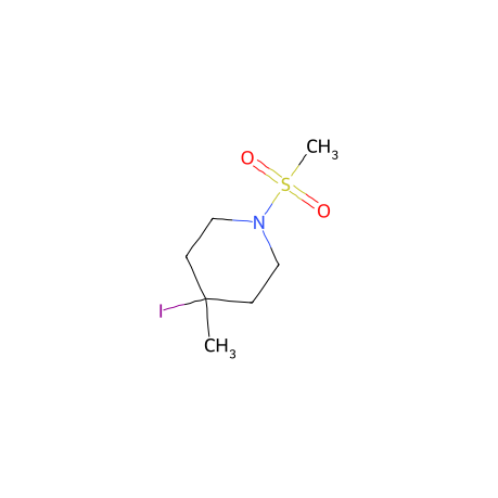 CC1(I)CCN(S(C)(=O)=O)CC1